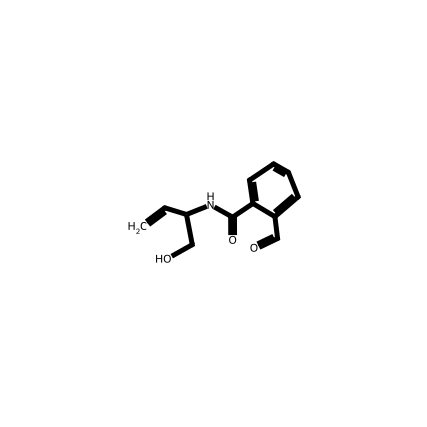 C=CC(CO)NC(=O)c1ccccc1C=O